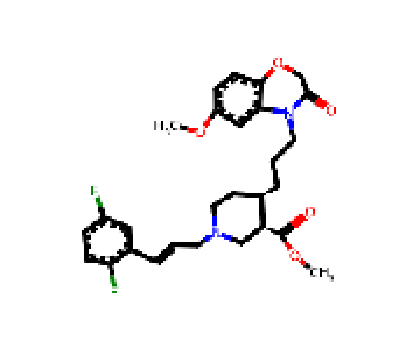 COC(=O)[C@H]1CN(C/C=C/c2cc(F)ccc2F)CC[C@H]1CCCN1C(=O)COc2ccc(OC)cc21